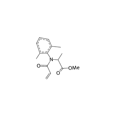 C=CC(=O)N(c1c(C)cccc1C)C(C)C(=O)OC